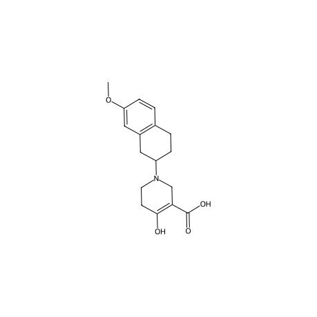 COc1ccc2c(c1)CC(N1CCC(O)=C(C(=O)O)C1)CC2